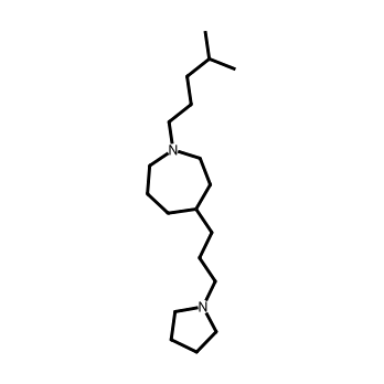 CC(C)CCCN1CCCC(CCCN2CCCC2)CC1